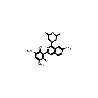 CCc1c(OC)cc(OC)c(Cl)c1-c1cc2cnc(N)cc2c(N2CC(C)OC(C)C2)n1